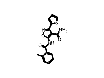 Cc1ccccc1C(=O)Nc1onc(-c2cccs2)c1C(N)=O